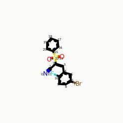 N#CC(=Cc1cc(Br)ccc1F)S(=O)(=O)c1ccccc1